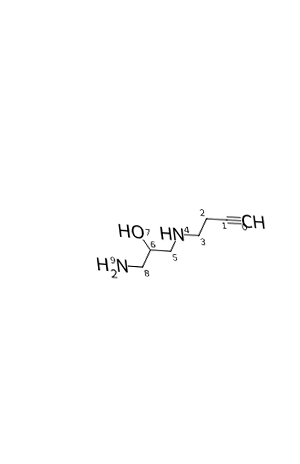 C#CCCNCC(O)CN